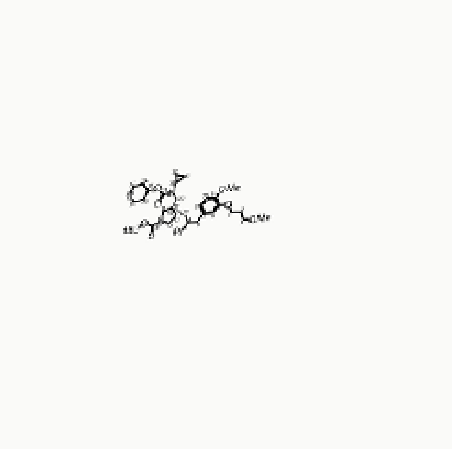 COCCCOc1cc(CC(C[C@@H]2CN(C(=O)OC(C)(C)C)C[C@H]2CN(C(=O)OC2CCOCC2)C2CC2)C(C)C)ccc1OC